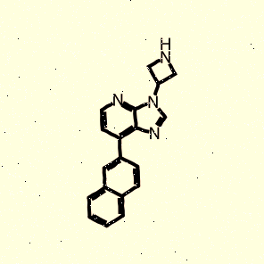 c1ccc2cc(-c3ccnc4c3ncn4C3CNC3)ccc2c1